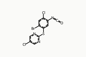 O=C=Nc1cc(Sc2ncc(Cl)cn2)c(Br)cc1Cl